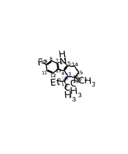 CC/C(C)=C1\c2c([nH]c3cc(F)ccc23)CCC1(C)C